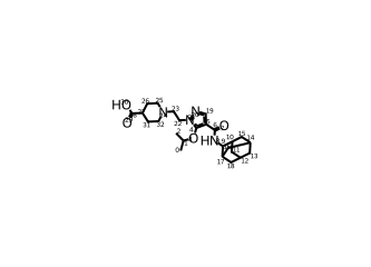 CC(C)Oc1c(C(=O)NC2C3CC4CC(C3)CC2C4)cnn1CCN1CCC(C(=O)O)CC1